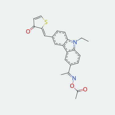 CCn1c2ccc(/C=C3\SC=CC3=O)cc2c2cc(/C(C)=N/OC(C)=O)ccc21